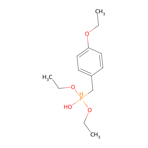 CCOc1ccc(C[PH](O)(OCC)OCC)cc1